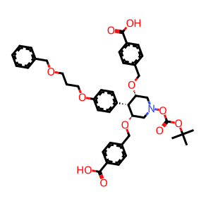 CC(C)(C)OC(=O)ON1C[C@H](OCc2ccc(C(=O)O)cc2)[C@H](c2ccc(OCCCOCc3ccccc3)cc2)[C@H](OCc2ccc(C(=O)O)cc2)C1